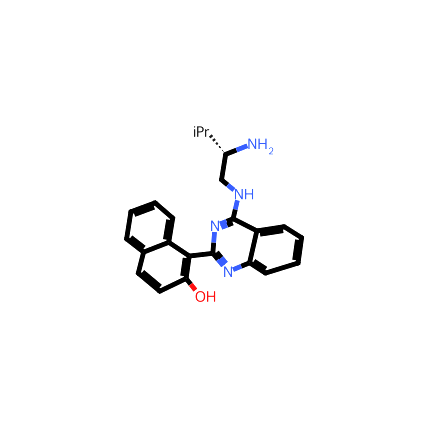 CC(C)[C@H](N)CNc1nc(-c2c(O)ccc3ccccc23)nc2ccccc12